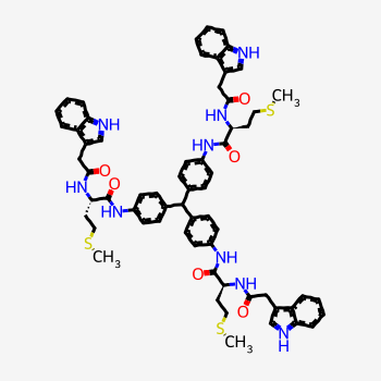 CSCC[C@H](NC(=O)Cc1c[nH]c2ccccc12)C(=O)Nc1ccc(C(c2ccc(NC(=O)[C@H](CCSC)NC(=O)Cc3c[nH]c4ccccc34)cc2)c2ccc(NC(=O)[C@H](CCSC)NC(=O)Cc3c[nH]c4ccccc34)cc2)cc1